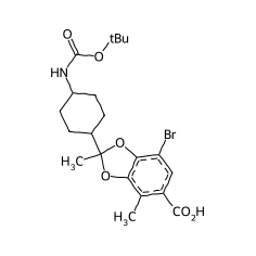 Cc1c(C(=O)O)cc(Br)c2c1OC(C)(C1CCC(NC(=O)OC(C)(C)C)CC1)O2